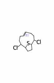 ClC1CC/C=C/CCC(Cl)C2CCC1S2